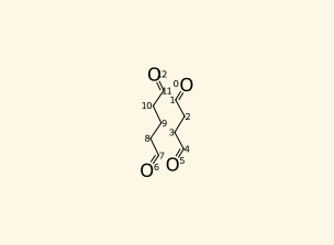 O=CCCC=O.O=CCCCC=O